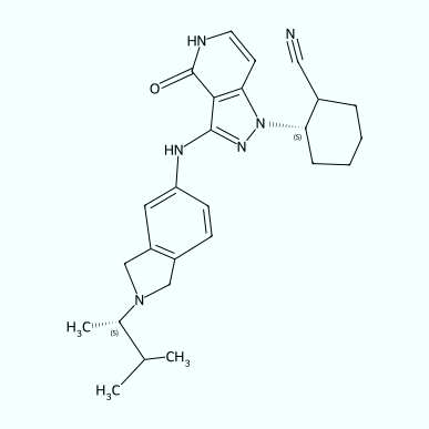 CC(C)[C@H](C)N1Cc2ccc(Nc3nn([C@H]4CCCCC4C#N)c4cc[nH]c(=O)c34)cc2C1